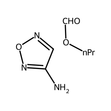 CCCOC=O.Nc1cnon1